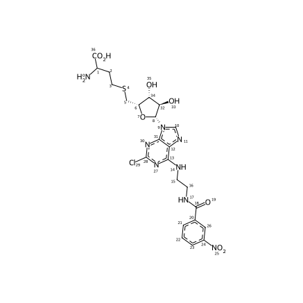 NC(CCSC[C@H]1O[C@@H](n2cnc3c(NCCNC(=O)c4cccc([N+](=O)[O-])c4)nc(Cl)nc32)[C@H](O)[C@H]1O)C(=O)O